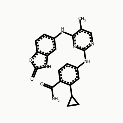 Cc1cnc(Nc2ccc(C(N)=O)c(C3CC3)c2)nc1Nc1ccc2oc(=O)[nH]c2c1